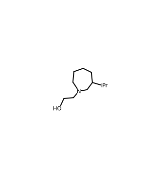 CC(C)C1CCCCN(CCO)C1